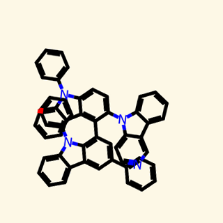 c1ccc(-c2cc(-c3c(-n4c5ccccc5c5cnccc54)ccc4c3c3ccccc3n4-c3ccccc3)c3c(c2)c2ccccc2n3-c2ccccc2)cc1